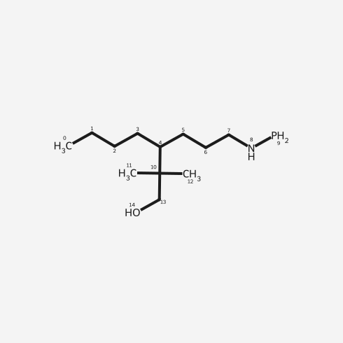 CCCCC(CCCNP)C(C)(C)CO